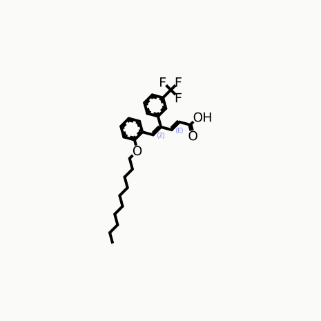 CCCCCCCCCCOc1ccccc1/C=C(/C=C/C(=O)O)c1cccc(C(F)(F)F)c1